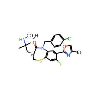 CCc1coc(-c2cc3c(cc2F)SC[C@H](CC(C)(C)NC(=O)O)C(=O)N3Cc2ccc(Cl)cc2)n1